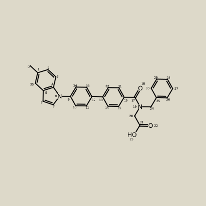 Cc1ccc2c(ccn2-c2ccc(-c3ccc(C(=O)N(CC(=O)O)Cc4ccccc4)cc3)cc2)c1